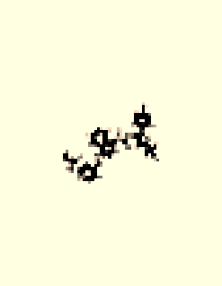 CCC(=O)Nc1cc(COc2ccc(NC(=O)Nc3cc(C(C)(C)C)nn3-c3ccc(C)cc3)c3ccccc23)ccn1